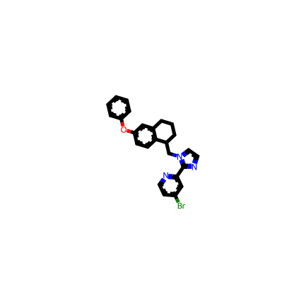 Brc1ccnc(-c2nccn2CC2CCCc3cc(Oc4ccccc4)ccc32)c1